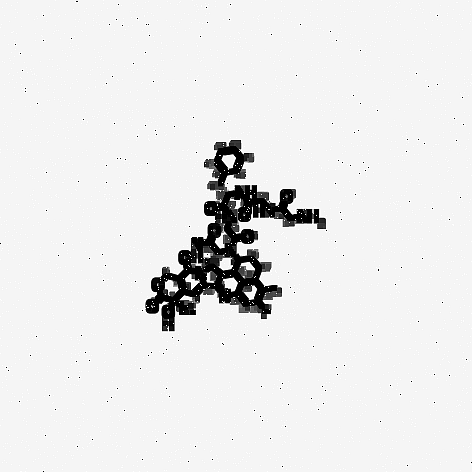 CC[C@@]1(O)C(=O)OCc2c1cc1n(c2=O)Cc2c-1nc1cc(F)c(C)c3c1c2[C@@H](N(CC(N)=O)C(=O)CNC(=O)[C@H](Cc1ccccc1)NC(=O)CNC(=O)CN)CC3